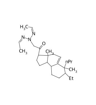 C/C=N\N(CC(=O)C1CCC2C3CCC(CC)C(C)(CCC)C3=CCC12C)/N=C\C